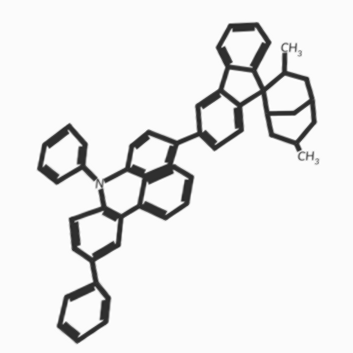 CC1CC2CC(C)C3(c4ccccc4-c4cc(-c5ccc(N(c6ccccc6)c6ccc(-c7ccccc7)cc6-c6ccccc6)cc5)ccc43)C(C1)C2